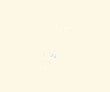 O=C(c1ncc(CCCCCCC(F)(F)F)s1)C(F)(F)F